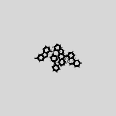 Cc1ccc2c(c1)-c1cccc(N(c3ccc(-c4ccccc4)cc3)c3cccc4c3-c3cc5ccccc5c(-c5cccc6c5OCC5=C6CCC=C5)c3C4)c1C2